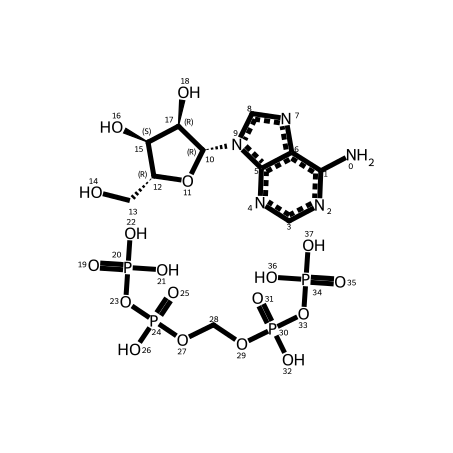 Nc1ncnc2c1ncn2[C@@H]1O[C@H](CO)[C@@H](O)[C@H]1O.O=P(O)(O)OP(=O)(O)OCOP(=O)(O)OP(=O)(O)O